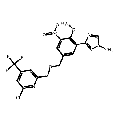 COc1c(-c2ncn(C)n2)cc(COCc2cc(C(F)(F)F)cc(Cl)n2)cc1[N+](=O)[O-]